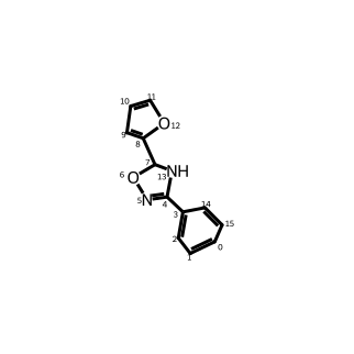 c1ccc(C2=NOC(c3ccco3)N2)cc1